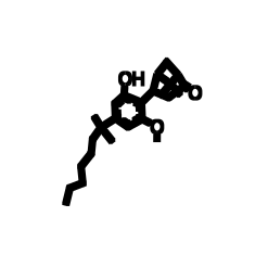 CCCCCCC(C)(C)c1cc(O)c(C2CC(=O)C3CC2C3(C)C)c(OC)c1